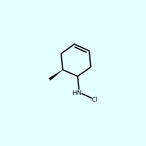 C[C@H]1CC=CCC1NCl